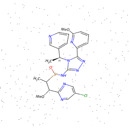 COc1cccc(-c2nnc(N[S+]([O-])C(C)C(OC)c3ncc(Cl)cn3)n2[C@@H](C)c2cccnc2)n1